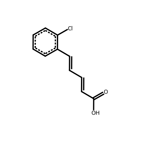 O=C(O)/C=C/C=C/c1ccccc1Cl